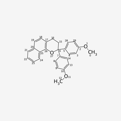 COc1ccc(C2(c3ccc(OC)cc3)CCc3ccc4ccccc4c3O2)cc1